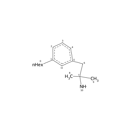 CCCCCCc1cccc(CC(C)(C)[NH])c1